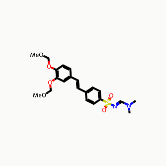 COCOc1ccc(C=Cc2ccc(S(=O)(=O)N=CN(C)C)cc2)cc1OCOC